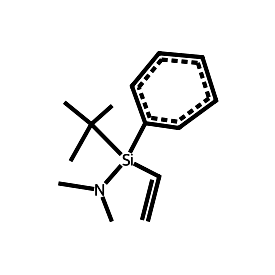 C=C[Si](c1ccccc1)(N(C)C)C(C)(C)C